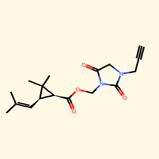 C#CCN1CC(=O)N(COC(=O)[C@H]2[C@@H](C=C(C)C)C2(C)C)C1=O